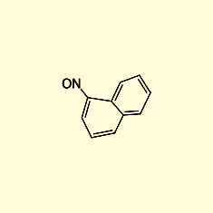 O=Nc1cccc2ccccc12